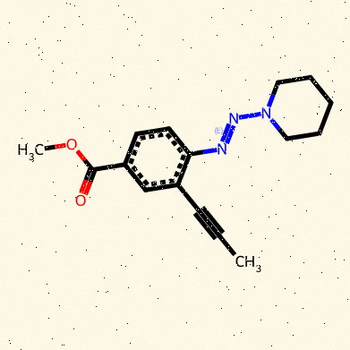 CC#Cc1cc(C(=O)OC)ccc1/N=N/N1CCCCC1